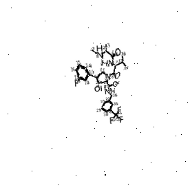 CN[C@@H](C)C(=O)N[C@H](C(=O)N1C[C@H](c2cccc(F)c2)[C@@H](O)C1C(=O)NCc1cccc(C(F)(F)F)c1)C(C)C